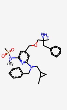 CCCN(c1cc(COCC(C)(N)Cc2ccccc2)cc(N(Cc2ccccc2)CC2CC2C)n1)S(C)(=O)=O